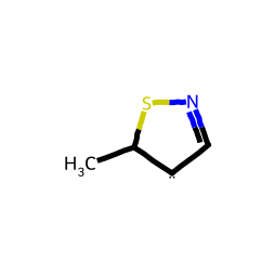 CC1[C]C=NS1